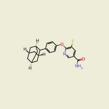 NC(=O)c1cnc(Oc2ccc(C3[C@H]4C[C@@H]5C[C@@H](C[C@H]3C5)C4)cc2)c(F)c1